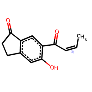 C/C=C\C(=O)c1cc2c(cc1O)CCC2=O